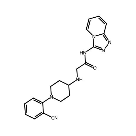 N#Cc1ccccc1N1CCC(NCC(=O)Nc2nnc3ccccn23)CC1